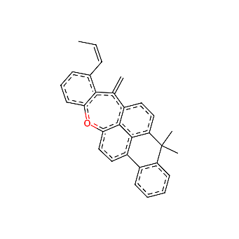 C=c1c2ccc3c4c(ccc(oc5cccc(/C=C\C)c15)c42)-c1ccccc1C3(C)C